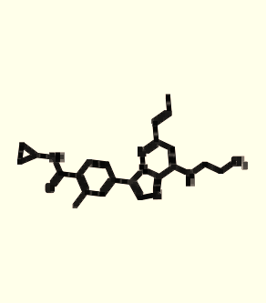 CC=Cc1cc(NCCC(F)(F)F)c2ncc(-c3ccc(C(=O)NC4CC4)c(C)c3)n2n1